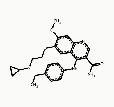 CCc1ccc(Nc2c(C(N)=O)cnc3cc(OC)c(OCCNC4CC4)cc23)cc1